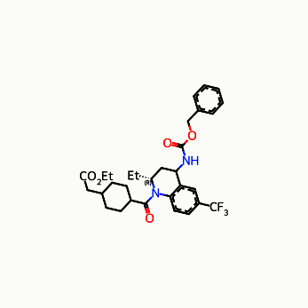 CCOC(=O)CC1CCC(C(=O)N2c3ccc(C(F)(F)F)cc3C(NC(=O)OCc3ccccc3)C[C@H]2CC)CC1